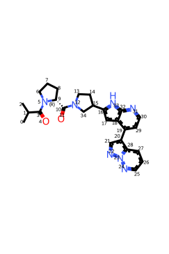 CC(C)C(=O)N1CCC[C@@H]1C(=O)N1CCC(c2cc3c(-c4cnn5ncccc45)ccnc3[nH]2)C1